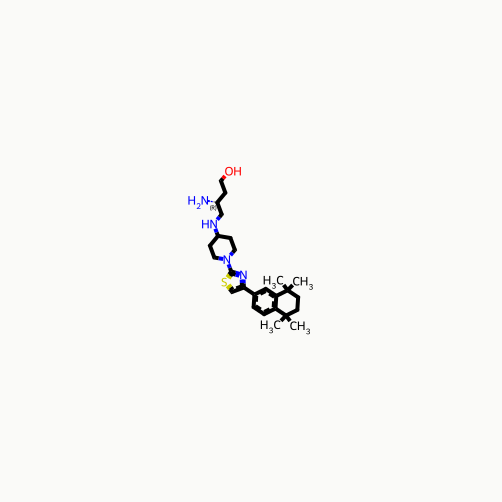 CC1(C)CCC(C)(C)c2cc(-c3csc(N4CCC(NC[C@H](N)CCO)CC4)n3)ccc21